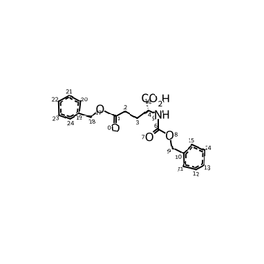 O=C(CC[C@@H](NC(=O)OCc1ccccc1)C(=O)O)OCc1ccccc1